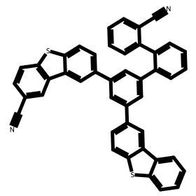 N#Cc1ccc2sc3ccc(-c4cc(-c5ccc6sc7ccccc7c6c5)cc(-c5ccccc5-c5ccccc5C#N)c4)cc3c2c1